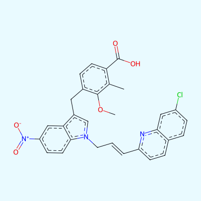 COc1c(Cc2cn(CC=Cc3ccc4ccc(Cl)cc4n3)c3ccc([N+](=O)[O-])cc23)ccc(C(=O)O)c1C